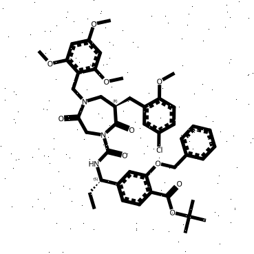 CC[C@H](NC(=O)N1CC(=O)N(Cc2c(OC)cc(OC)cc2OC)C[C@@H](Cc2cc(Cl)ccc2OC)C1=O)c1ccc(C(=O)OC(C)(C)C)c(OCc2ccccc2)c1